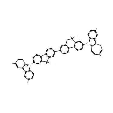 CC1=CCc2c(n(-c3ccc4c(c3)C(C)(C)Cc3cc(-c5ccc6c(c5)C(C)(C)c5cc(-n7c8c(c9cc(C)ccc97)C=C(C)CC8)ccc5-6)ccc3-4)c3ccc(C)cc23)C=C1